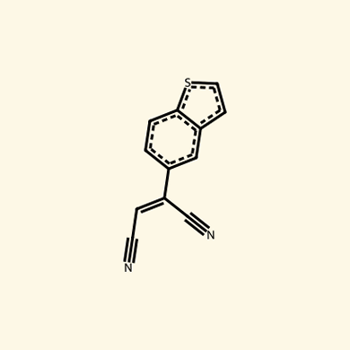 N#CC=C(C#N)c1ccc2sccc2c1